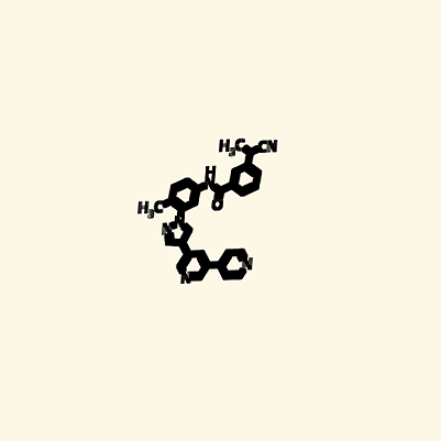 Cc1ccc(NC(=O)c2cccc(C(C)C#N)c2)cc1N1CC(c2cncc(-c3ccncc3)c2)C=N1